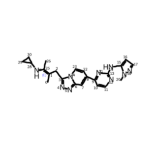 C/C(Cc1nnc2cc(-c3ccnc(Nc4ccnn4C)n3)ccn12)=C(/C)NC1CC1